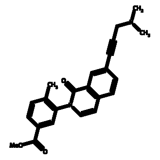 COC(=O)c1ccc(C)c(-n2ccc3ccc(C#CCN(C)C)cc3c2=O)c1